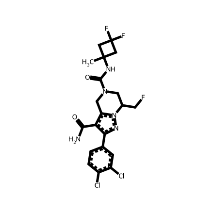 CC1(NC(=O)N2Cc3c(C(N)=O)c(-c4ccc(Cl)c(Cl)c4)nn3C(CF)C2)CC(F)(F)C1